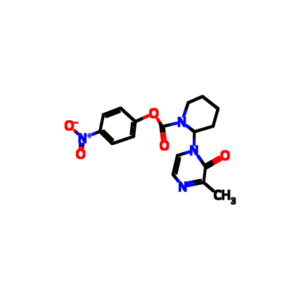 Cc1nccn(C2CCCCN2C(=O)Oc2ccc([N+](=O)[O-])cc2)c1=O